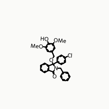 COc1cc(COC2(c3ccc(Cl)cc3)c3ccccc3C(=O)N2Cc2ccccc2)cc(OC)c1O